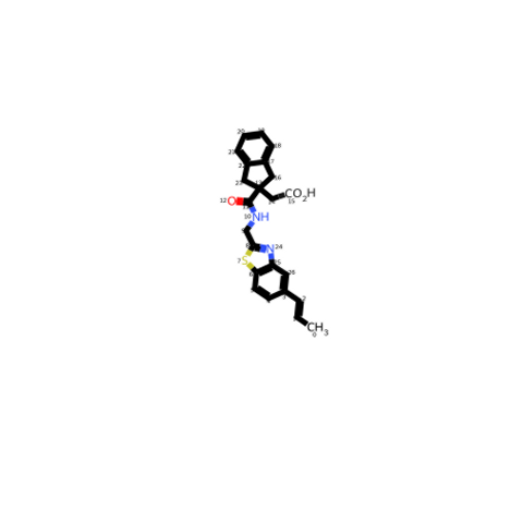 C/C=C/c1ccc2sc(CNC(=O)C3(CC(=O)O)Cc4ccccc4C3)nc2c1